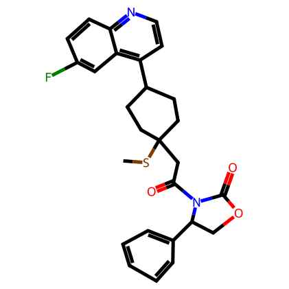 CSC1(CC(=O)N2C(=O)OCC2c2ccccc2)CCC(c2ccnc3ccc(F)cc23)CC1